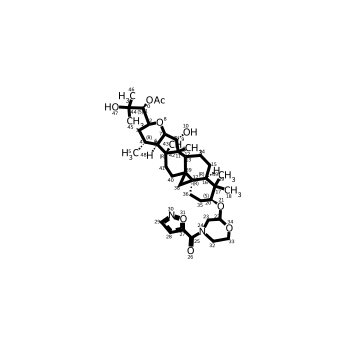 CC(=O)O[C@@H](C1C[C@@H](C)[C@H]2C(O1)[C@H](O)C1(C)C3CC[C@H]4C(C)(C)[C@@H](OC5CN(C(=O)c6ccno6)CCO5)CC[C@@]45CC35CC[C@]21C)C(C)(C)O